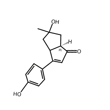 CC1(O)CC2C(c3ccc(O)cc3)=CC(=O)[C@@H]2C1